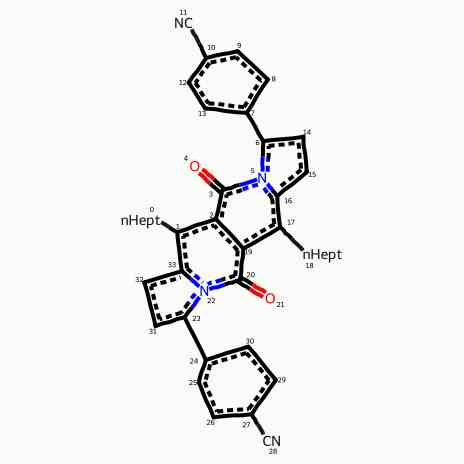 CCCCCCCc1c2c(=O)n3c(-c4ccc(C#N)cc4)ccc3c(CCCCCCC)c2c(=O)n2c(-c3ccc(C#N)cc3)ccc12